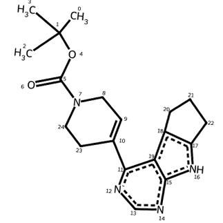 CC(C)(C)OC(=O)N1CC=C(c2ncnc3[nH]c4c(c23)CCC4)CC1